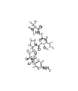 CCC(C)C(C(CC(=O)N1CCCC1C(OC)C(C)C(=O)N[S+]([O-])c1ccc(N)cc1)OC)N(C)C(=O)CNC(=O)C(C(C)C)N(C)C